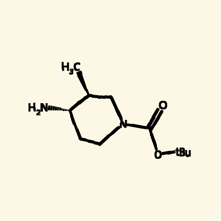 C[C@H]1CN(C(=O)OC(C)(C)C)CC[C@@H]1N